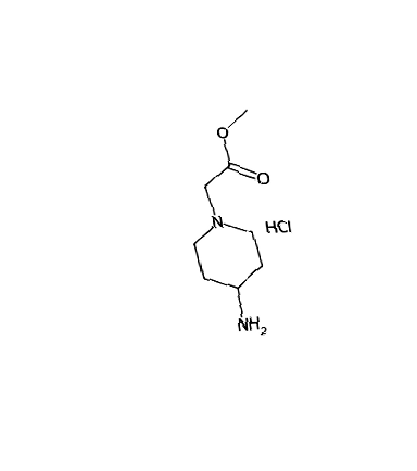 COC(=O)CN1CCC(N)CC1.Cl